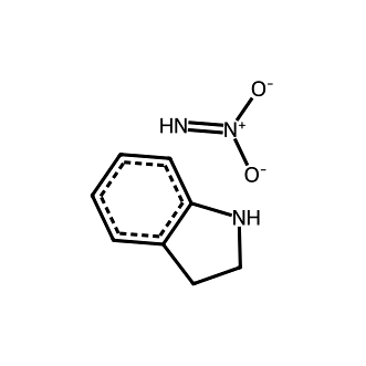 N=[N+]([O-])[O-].c1ccc2c(c1)CCN2